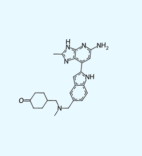 Cc1nc2c(-c3cc4cc(CN(C)CC5CCC(=O)CC5)ccc4[nH]3)cc(N)nc2[nH]1